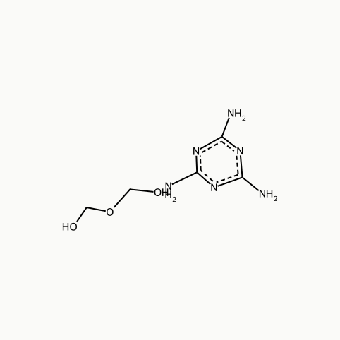 Nc1nc(N)nc(N)n1.OCOCO